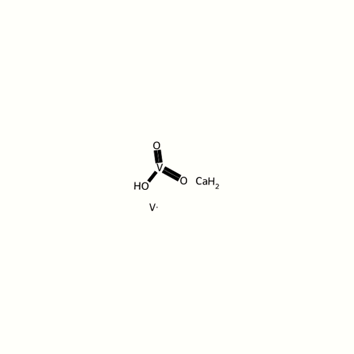 [CaH2].[O]=[V](=[O])[OH].[V]